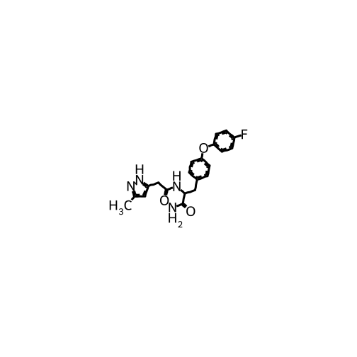 Cc1cc(CC(=O)NC(Cc2ccc(Oc3ccc(F)cc3)cc2)C(N)=O)[nH]n1